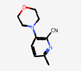 Cc1ccc(N2CCOCC2)c(C#N)n1